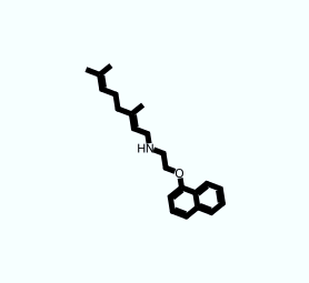 CC(C)=CCC/C(C)=C/CNCCOc1cccc2ccccc12